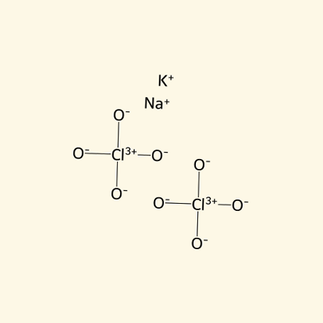 [K+].[Na+].[O-][Cl+3]([O-])([O-])[O-].[O-][Cl+3]([O-])([O-])[O-]